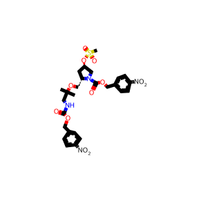 CC(C)(CNC(=O)OCc1ccc([N+](=O)[O-])cc1)OC[C@@H]1C[C@@H](OS(C)(=O)=O)CN1C(=O)OCc1ccc([N+](=O)[O-])cc1